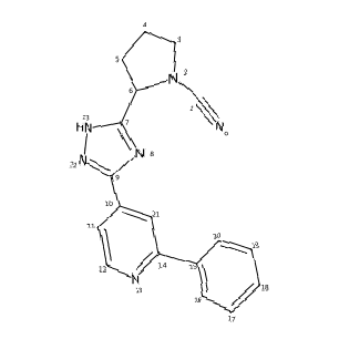 N#CN1CCCC1c1nc(-c2ccnc(-c3ccccc3)c2)n[nH]1